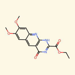 CCOC(=O)c1nc(=O)c2cc3cc(OC)c(OC)cc3nc2[nH]1